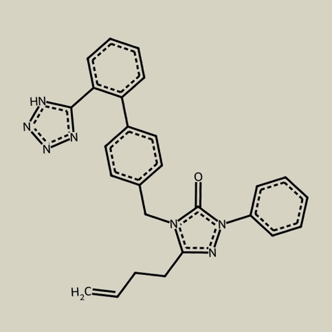 C=CCCc1nn(-c2ccccc2)c(=O)n1Cc1ccc(-c2ccccc2-c2nnn[nH]2)cc1